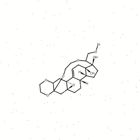 CCOCC1OCCOC23C[C@@]45CC[C@@H]6C(=CC[C@@]7(C)[C@@H]6CC[C@@]17O)[C@@]4(CC2OCCO3)O5